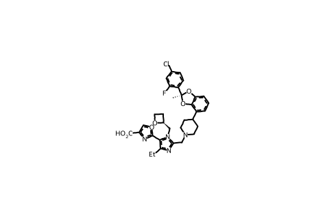 CCc1nc(CN2CCC(c3cccc4c3O[C@@](C)(c3ccc(Cl)cc3F)O4)CC2)n(C[C@@H]2CCO2)c1-c1nc(C(=O)O)co1